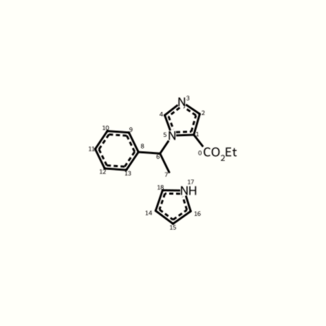 CCOC(=O)c1cncn1C(C)c1ccccc1.c1cc[nH]c1